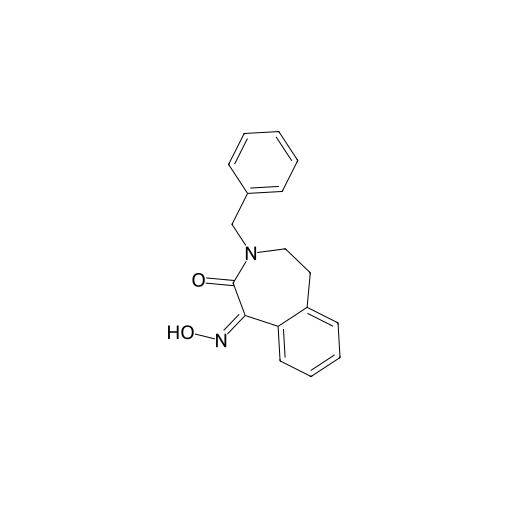 O=C1C(=NO)c2ccccc2CCN1Cc1ccccc1